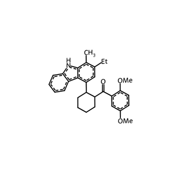 CCc1cc(C2CCCCC2C(=O)c2cc(OC)ccc2OC)c2c([nH]c3ccccc32)c1C